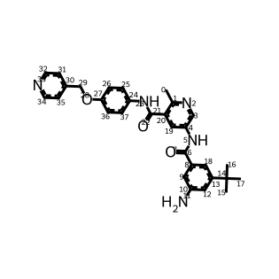 Cc1ncc(NC(=O)c2cc(N)cc(C(C)(C)C)c2)cc1C(=O)Nc1ccc(OCc2ccncc2)cc1